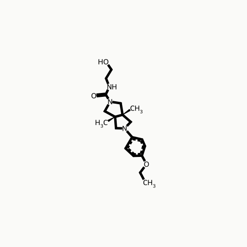 CCOc1ccc(N2C[C@]3(C)CN(C(=O)NCCO)C[C@]3(C)C2)cc1